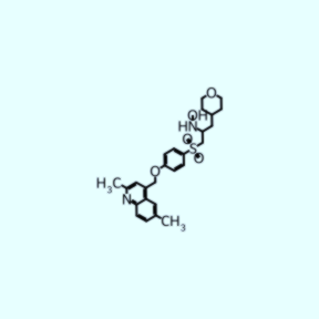 Cc1ccc2nc(C)cc(COc3ccc(S(=O)(=O)CC(CC4CCOCC4)NO)cc3)c2c1